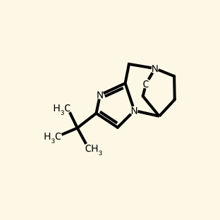 CC(C)(C)c1cn2c(n1)CN1CCC2CC1